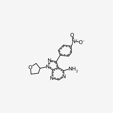 Nc1ncnc2c1c(-c1ccc([N+](=O)[O-])cc1)nn2C1CCOC1